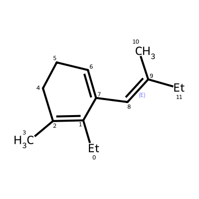 CCC1=C(C)CCC=C1/C=C(\C)CC